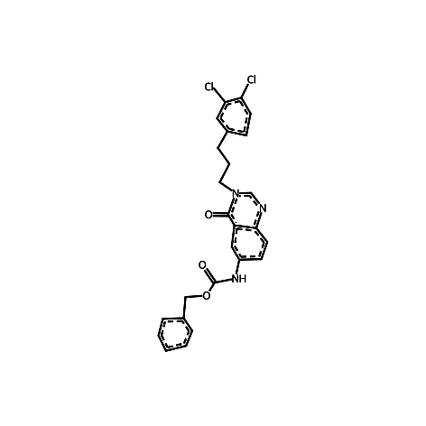 O=C(Nc1ccc2ncn(CCCc3ccc(Cl)c(Cl)c3)c(=O)c2c1)OCc1ccccc1